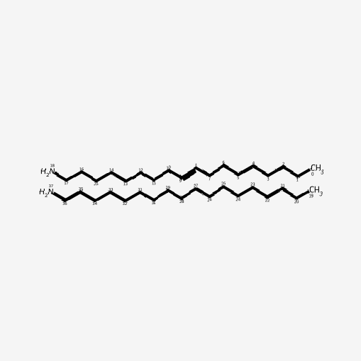 CCCCCCCCC=CCCCCCCCCN.CCCCCCCCCCCCCCCCCCN